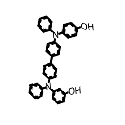 Oc1ccc(N(c2ccccc2)c2ccc(-c3ccc(N(c4ccccc4)c4cccc(O)c4)cc3)cc2)cc1